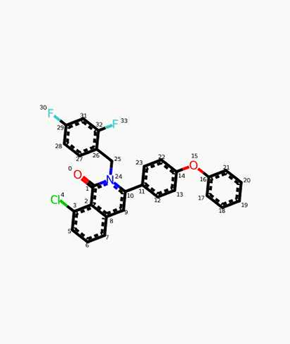 O=c1c2c(Cl)cccc2cc(-c2ccc(Oc3ccccc3)cc2)n1Cc1ccc(F)cc1F